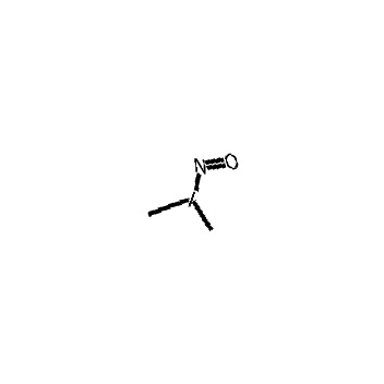 CI(C)N=O